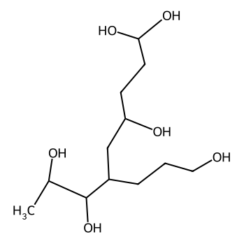 CC(O)C(O)C(CCCO)CC(O)CCC(O)O